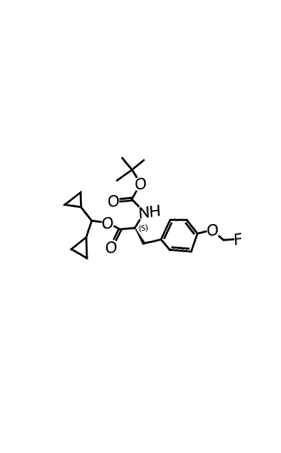 CC(C)(C)OC(=O)N[C@@H](Cc1ccc(OCF)cc1)C(=O)OC(C1CC1)C1CC1